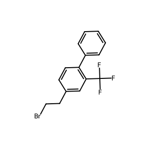 FC(F)(F)c1cc(CCBr)ccc1-c1ccccc1